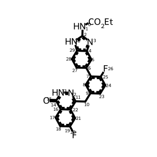 CCOC(=O)Nc1nc2cc(-c3cc(Cc4n[nH]c(=O)c5ccc(F)cc45)ccc3F)ccc2[nH]1